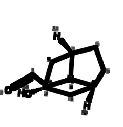 O=CCN1[C@@H]2CC[C@H]1C[C@@H](O)C2